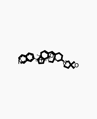 C[C@]12CC=C3C=C4CCC(N5CCC6(COC6)C5)C[C@]45CC[C@]3(O5)[C@@H]1CC[C@@H]2c1ccc2ccncc2c1